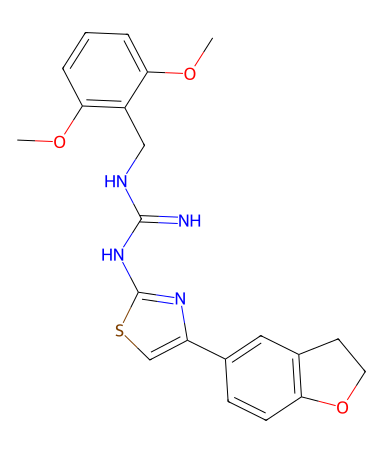 COc1cccc(OC)c1CNC(=N)Nc1nc(-c2ccc3c(c2)CCO3)cs1